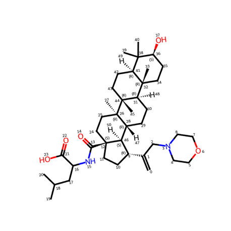 C=C(CN1CCOCC1)[C@@H]1CC[C@]2(C(=O)NC(CC(C)C)C(=O)O)CC[C@]3(C)[C@H](CC[C@@H]4[C@@]5(C)CC[C@H](O)C(C)(C)[C@@H]5CC[C@]43C)[C@@H]12